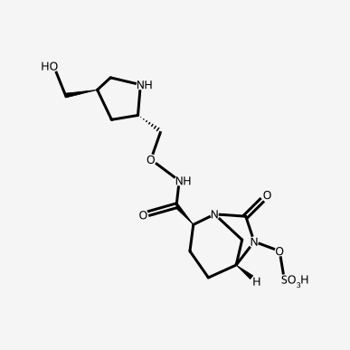 O=C(NOC[C@@H]1C[C@@H](CO)CN1)[C@@H]1CC[C@@H]2CN1C(=O)N2OS(=O)(=O)O